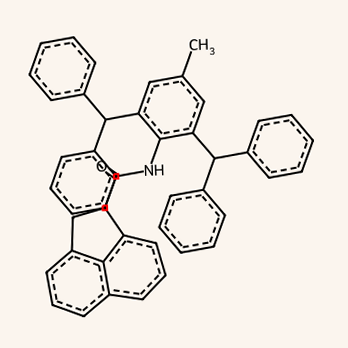 Cc1cc(C(c2ccccc2)c2ccccc2)c(NC(=O)C2Cc3cccc4cccc2c34)c(C(c2ccccc2)c2ccccc2)c1